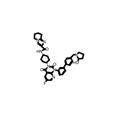 O=C(N[C@H]1CC[C@@H](n2c(=O)c3cc(F)cnc3n(-c3cccc(-c4ccc(CN5CCCC5O)cc4)c3)c2=O)CC1)c1cn2c(n1)CCCC2